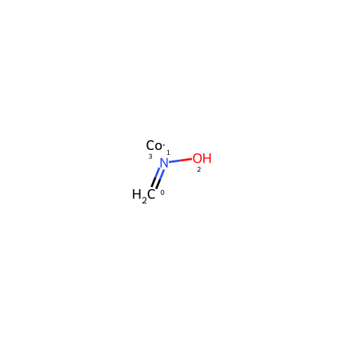 C=NO.[Co]